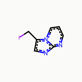 ICc1cnc2ncccn12